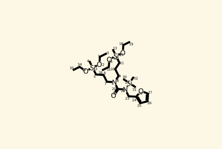 CCO[Si](C)(CCCN(CCC[Si](C)(OCC)OCC)C(=O)N(Cc1ccco1)[Si](C)(C)C)OCC